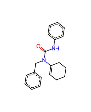 O=C(Nc1ccccc1)N(Cc1ccccc1)C1=CCCCC1